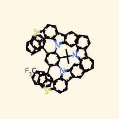 Cc1ccccc1-c1cc(-c2ccccc2C(F)(F)F)c(-n2c3ccccc3c3ccc4sc5ccccc5c4c32)c(C(C)(C)n2c3ccccc3c3ccccc32)c1-n1c2ccccc2c2ccc3sc4ccccc4c3c21